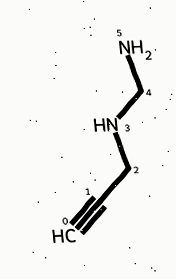 C#CCNCN